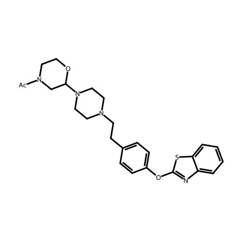 CC(=O)N1CCOC(N2CCN(CCc3ccc(Oc4nc5ccccc5s4)cc3)CC2)C1